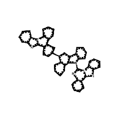 c1ccc2c(c1)nc(-n1c3ccccc3c3cc(-c4ccc5c(c4)c4ccccc4n4c6ccccc6nc54)c4ccccc4c31)n1c3ccccc3nc21